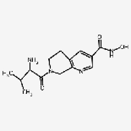 CC(C)C(N)C(=O)N1CCc2cc(C(=O)NO)cnc2C1